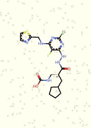 O=C(O)NC[C@@H](CC1CCCC1)C(=O)NNc1nc(Cl)nc(NCc2nccs2)c1F